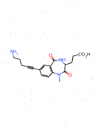 CN1C(=O)C(CCC(=O)O)NC(=O)c2cc(C#CCCCN)ccc21